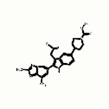 Cc1nc2c(C)cc(-c3[nH]c4ccc(C5CCN(C(=O)OC(C)(C)C)CC5)cc4c3CC(F)F)cn2n1